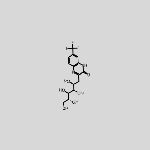 O=c1[nH]c2cc(C(F)(F)F)ccc2nc1CC(O)[C@@H](O)C(O)[C@H](O)CO